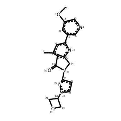 COc1cncc(-c2cc(C)c3c(n2)CN(c2ccn(C4COC4)n2)C3=O)c1